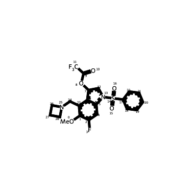 COc1c(F)cc2c(c(OC(=O)C(F)(F)F)cn2S(=O)(=O)c2ccccc2)c1CN1CCC1